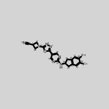 N#CC1CN(c2nnc(-c3cnc(NC4Cc5cc(F)c(F)cc5C4)nc3)o2)C1